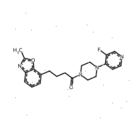 Cc1nc2cccc(CCCC(=O)N3CCN(c4ccncc4F)CC3)c2o1